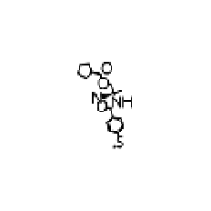 CSc1ccc(C(=O)NC(C)(C#N)COC(=O)C2CCCC2)cc1